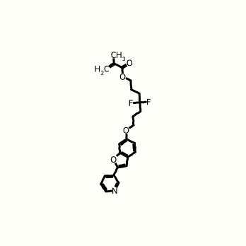 C=C(C)C(=O)OCCCC(F)(F)CCCOc1ccc2cc(-c3cccnc3)oc2c1